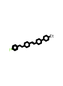 CCC1CCC(C2CCC(C=CC3CCC(CCc4ccc(F)cc4)CC3)CC2)CC1